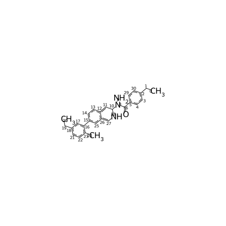 CCc1ccc(C(=O)N(N)C2C=c3ccc(-c4cc(CC)ccc4C)cc3=CN2)cc1